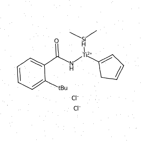 C[SiH](C)[Ti+2]([NH]C(=O)c1ccccc1C(C)(C)C)[C]1=CC=CC1.[Cl-].[Cl-]